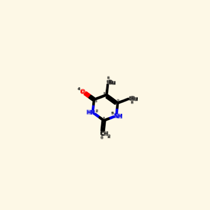 C=C1NC(=O)C(C(C)(C)C)=C(C(C)(C)C)N1